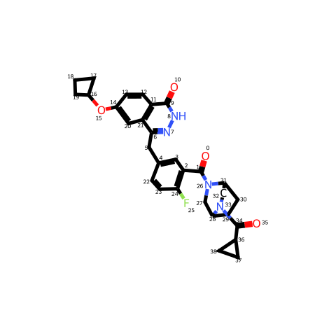 O=C(c1cc(Cc2n[nH]c(=O)c3ccc(OC4CCC4)cc23)ccc1F)N1CC2CCC1CN2C(=O)C1CC1